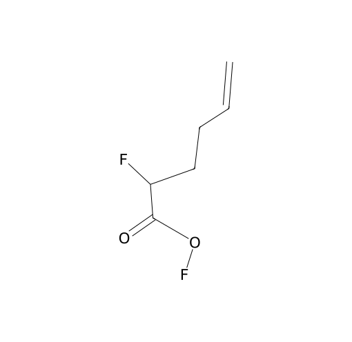 C=CCCC(F)C(=O)OF